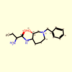 CC(C)CC(N)C(=O)NC1CCCN(Cc2ccccc2)C[C@@H]1O